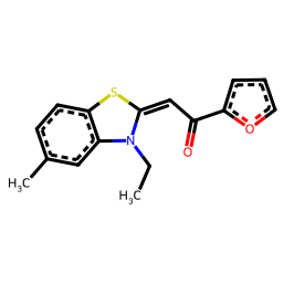 CCN1C(=CC(=O)c2ccco2)Sc2ccc(C)cc21